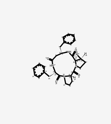 O=C1C[C@H](Cc2ccccc2)NC(=O)[C@@]23N[C@H]2CCN3C(=O)[C@H]2CCCN2C(=O)[C@H](Cc2ccccc2)N1